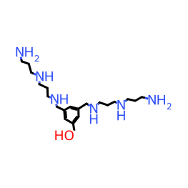 NCCCNCCCNCc1cc(CO)cc(CNCCCNCCCN)c1